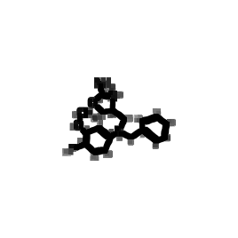 COc1cc(N(Cc2ccccc2)CC2COC(N)=N2)ccc1F